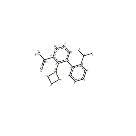 CC(C)c1ccccc1-c1cnnc(C(=O)O)c1N1CCC1